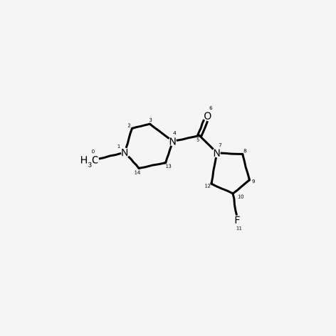 CN1CCN(C(=O)N2CCC(F)C2)CC1